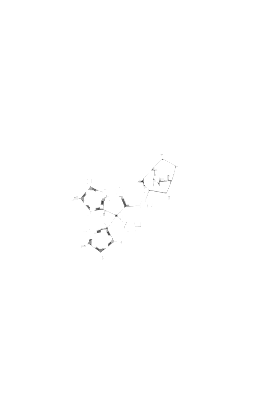 O=C(OC1CC2CCC(C1)N2)C(O)(c1cccs1)c1cccs1